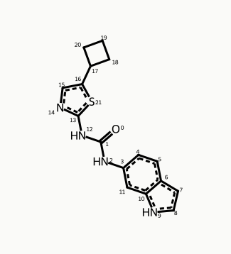 O=C(Nc1ccc2cc[nH]c2c1)Nc1ncc(C2CCC2)s1